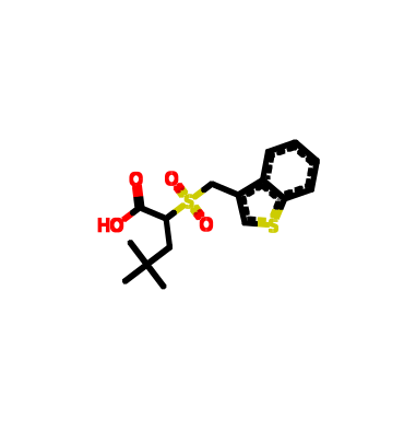 CC(C)(C)CC(C(=O)O)S(=O)(=O)Cc1csc2ccccc12